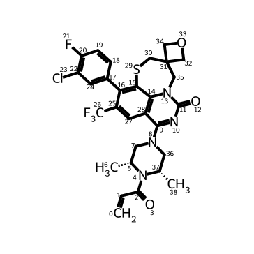 C=CC(=O)N1[C@H](C)CN(c2nc(=O)n3c4c(c(-c5ccc(F)c(Cl)c5)c(C(F)(F)F)cc24)SCC2(COC2)C3)C[C@@H]1C